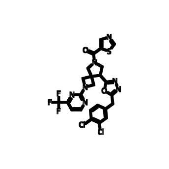 O=C(c1cncs1)N1CC(c2nnc(Cc3ccc(Cl)c(Cl)c3)o2)C2(C1)CN(c1nccc(C(F)(F)F)n1)C2